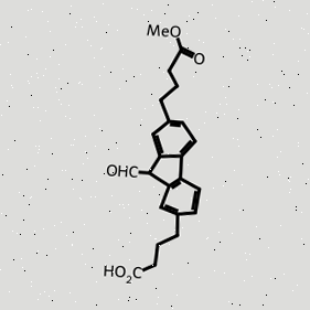 COC(=O)CCCc1ccc2c(c1)C(C=O)c1cc(CCCC(=O)O)ccc1-2